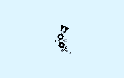 NS(=O)(=O)c1ccc(NC2CCC(N(CC3CC3)CC3CC3)CC2)c([N+](=O)[O-])c1